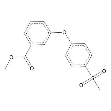 COC(=O)c1cccc(Oc2ccc(S(C)(=O)=O)cc2)c1